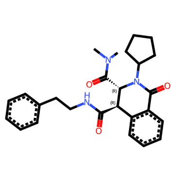 CN(C)C(=O)[C@H]1[C@H](C(=O)NCCc2ccccc2)c2ccccc2C(=O)N1C1CCCC1